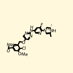 CNC(=O)c1cc(COc2cnc(Nc3cnc(N4C=C(C)N[C@@H](C)C4)c(F)c3)nc2)c(Cl)c(OC)c1